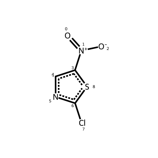 O=[N+]([O-])c1[c]nc(Cl)s1